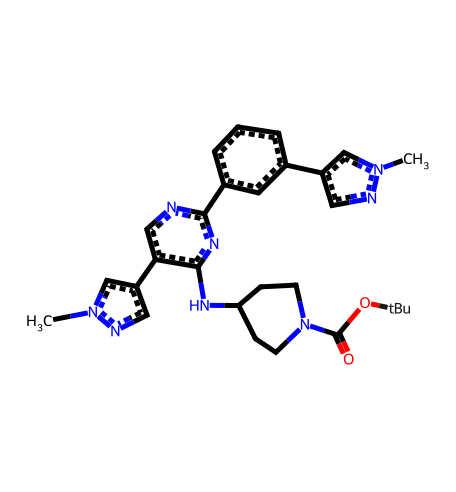 Cn1cc(-c2cccc(-c3ncc(-c4cnn(C)c4)c(NC4CCN(C(=O)OC(C)(C)C)CC4)n3)c2)cn1